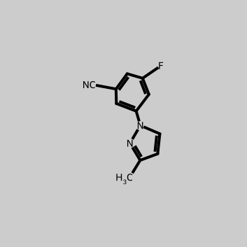 Cc1ccn(-c2cc(F)cc(C#N)c2)n1